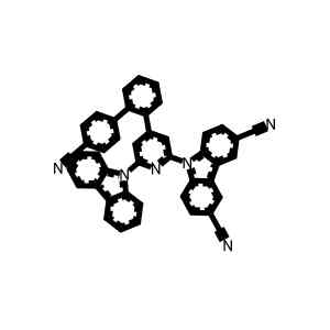 N#Cc1ccc(-c2ccccc2-c2cc(-n3c4ccccc4c4ccccc43)nc(-n3c4ccc(C#N)cc4c4cc(C#N)ccc43)c2)cc1